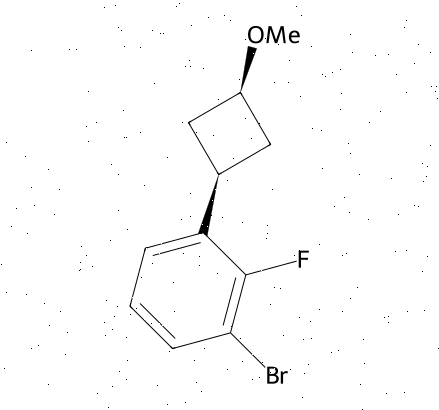 CO[C@H]1C[C@@H](c2cccc(Br)c2F)C1